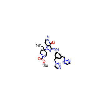 CC(C)(C)OC(=O)N1CCC(CC#N)(n2nc(Nc3cc(Cn4ccnn4)cc(Cn4nccn4)c3)c3c(=O)[nH]ccc32)CC1